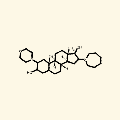 C[C@]12CC(N3CCOCC3)C(O)CC1CC[C@@H]1[C@H]2CC[C@]2(C)C(O)C(N3CCCCCC3)C[C@@H]12